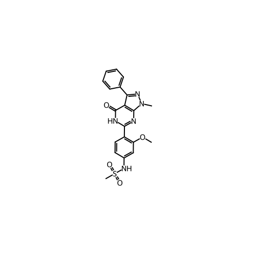 COc1cc(NS(C)(=O)=O)ccc1-c1nc2c(c(-c3ccccc3)nn2C)c(=O)[nH]1